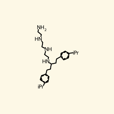 CC(C)c1ccc(CCC(CCc2ccc(C(C)C)cc2)NCCNCCNCCN)cc1